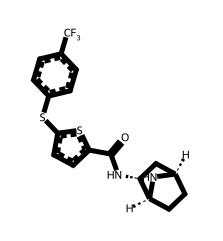 O=C(N[C@@H]1C[C@H]2CC[C@@H]1N2)c1ccc(Sc2ccc(C(F)(F)F)cc2)s1